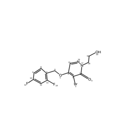 O=c1c(Br)c(OCc2ccc(F)cc2F)cnn1CCO